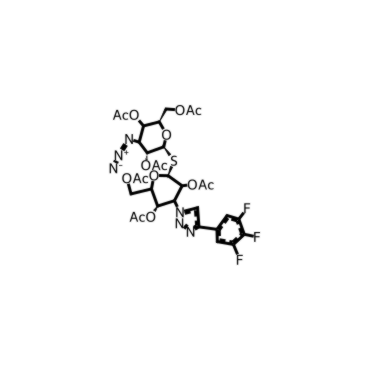 CC(=O)OCC1O[C@@H](S[C@@H]2O[C@H](COC(C)=O)C(OC(C)=O)C(N=[N+]=[N-])[C@H]2OC(C)=O)C(OC(C)=O)C(n2cc(-c3cc(F)c(F)c(F)c3)nn2)[C@H]1OC(C)=O